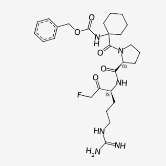 N=C(N)NCCC[C@H](NC(=O)[C@@H]1CCCN1C(=O)C1(NC(=O)OCc2ccccc2)CCCCC1)C(=O)CF